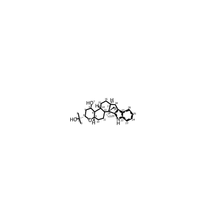 CC(C)(O)[C@@H]1C[C@@H](O)C2[C@H](CC[C@@]3(C)[C@H]2CC[C@H]2Cc4c([nH]c5ccccc45)[C@@]23C)O1